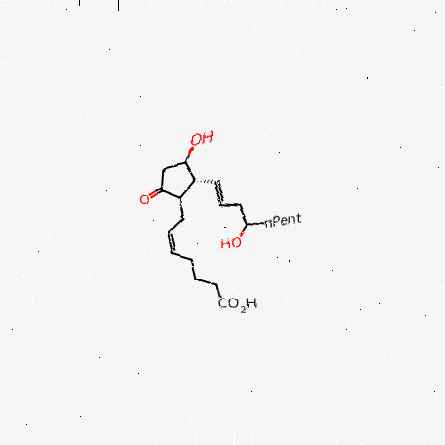 CCCCCC(O)C/C=C/[C@H]1[C@H](O)CC(=O)[C@@H]1C/C=C\CCCC(=O)O